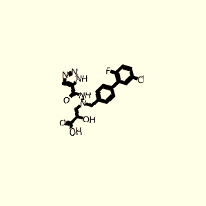 O=C(NN(Cc1ccc(-c2cc(Cl)ccc2F)cc1)CC(O)C(=O)O)c1cnn[nH]1